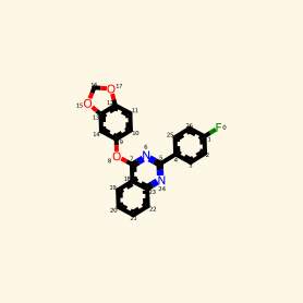 Fc1ccc(-c2nc(Oc3ccc4c(c3)OCO4)c3ccccc3n2)cc1